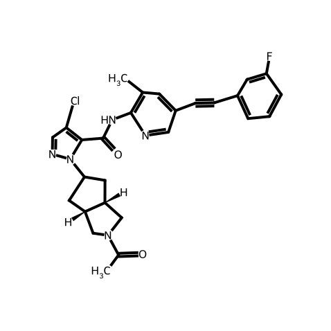 CC(=O)N1C[C@H]2CC(n3ncc(Cl)c3C(=O)Nc3ncc(C#Cc4cccc(F)c4)cc3C)C[C@H]2C1